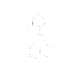 CC(C)c1ccccc1C=NC(C)c1ccc(Br)cc1Br